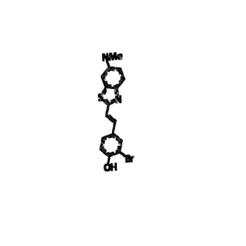 CNc1ccc2nc(/C=C/c3ccc(O)c(Br)c3)sc2c1